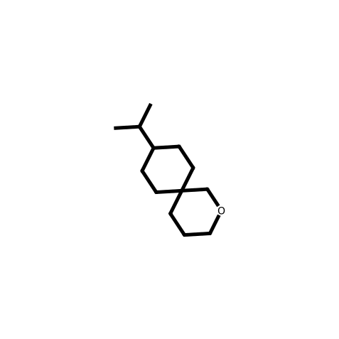 CC(C)C1CCC2(CCCOC2)CC1